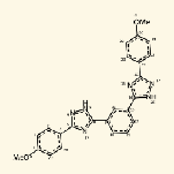 COc1ccc(-c2n[nH]c(-c3cccc(-c4nc(-c5ccc(OC)cc5)n[nH]4)c3)n2)cc1